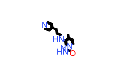 Cc1ccn2c(=O)[nH]nc2c1NCCCc1ccncc1